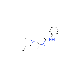 CCCCN(CC)CC(C)/N=C(\C)Nc1ccccc1